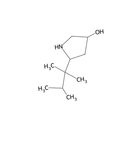 CC(C)C(C)(C)C1CC(O)CN1